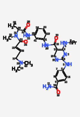 CCCNc1nc(Nc2ccc(C(N)=O)cc2)ncc1C(=O)Nc1cccc(NC(=O)C(C)N(C)C(=O)C=CCN(C)C)c1